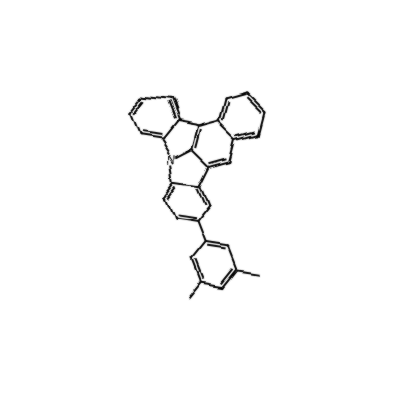 Cc1cc(C)cc(-c2ccc3c(c2)c2cc4ccccc4c4c5ccccc5n3c24)c1